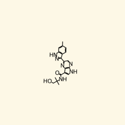 Cc1ccc2c(-c3cnc4[nH]cc(C(=O)NC(C)(C)CO)c4n3)n[nH]c2c1